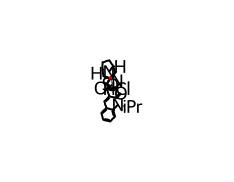 CC(C)n1c(=O)c(C(=O)O[C@H]2C[C@H]3CC[C@@H](C2)N3c2nccs2)cc2ccccc21.Cl